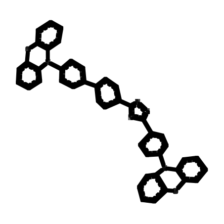 c1ccc2c(c1)Oc1ccccc1N2c1ccc(-c2ccc(-c3nsc(-c4ccc(N5c6ccccc6Oc6ccccc65)cc4)n3)cc2)cc1